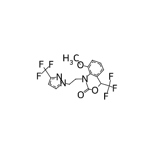 COc1cccc2c1N(CCn1ccc(C(F)(F)F)n1)C(=O)OC2C(F)(F)F